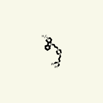 CC(C)CN(CCCN1CCN(CCCn2c3c(c4ccccc42)CN(C)CC3)CC1)CC(C)C